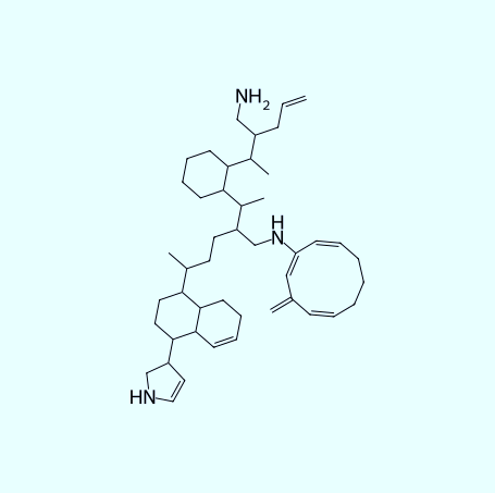 C=CCC(CN)C(C)C1CCCCC1C(C)C(CCC(C)C1CCC(C2C=CNC2)C2C=CCCC21)CNC1=C/C(=C)/C=C\CCC/C=C\1